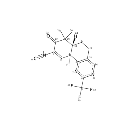 [C-]#[N+]C1=C[C@]2(C)c3nc(C(F)(F)F)ncc3CC[C@H]2C(C)(C)C1=O